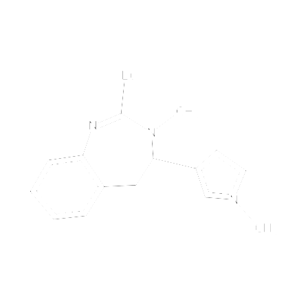 CCC1=Nc2ccccc2CC(c2ccn(C)c2)N1C